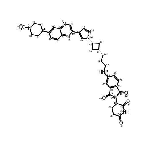 CN1CCC(c2ccc3nc(-c4cnn([C@H]5C[C@@H](CCCNc6ccc7c(c6)C(=O)N(C6CCC(=O)NC6=O)C7=O)C5)c4)cnc3c2)CC1